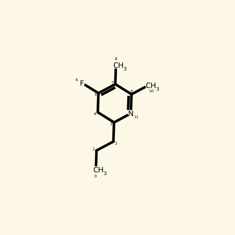 CCCC1CC(F)=C(C)C(C)=N1